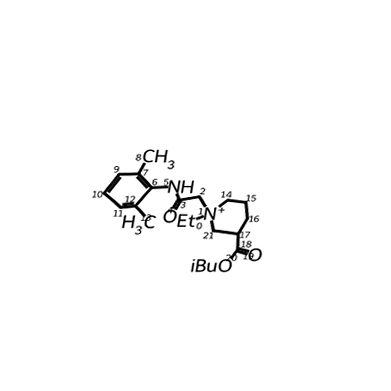 CC[N+]1(CC(=O)Nc2c(C)cccc2C)CCCC(C(=O)OCC(C)C)C1